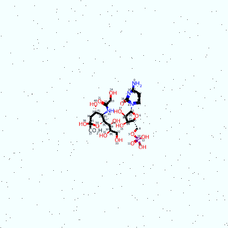 Nc1ccn([C@@H]2O[C@H](COP(=O)(O)O)[C@@H](O)[C@H]2O)c(=O)n1.O=C(CO)N[C@H]1[C@H]([C@H](O)[C@H](O)CO)OC(O)(C(=O)O)C[C@@H]1O